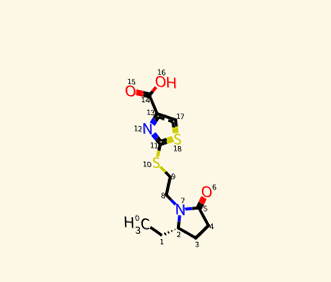 CC[C@H]1CCC(=O)N1CCSc1nc(C(=O)O)cs1